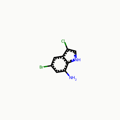 Nc1cc(Br)cc2c(Cl)c[nH]c12